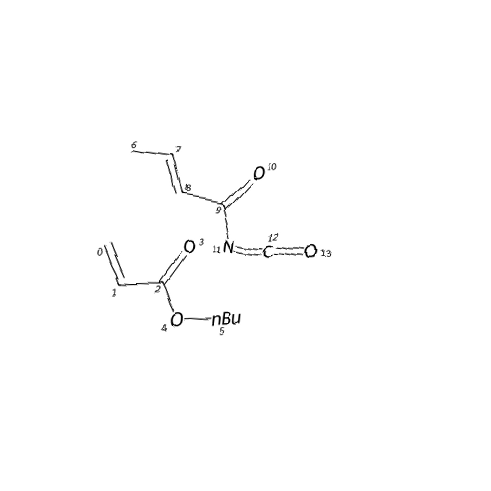 C=CC(=O)OCCCC.CC=CC(=O)N=C=O